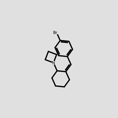 Brc1ccc(/C=C2/CCCCC2N2CCC2)cc1